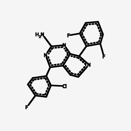 Nc1nc(-c2ccc(F)cc2Cl)c2ccnc(-c3c(F)cccc3F)c2n1